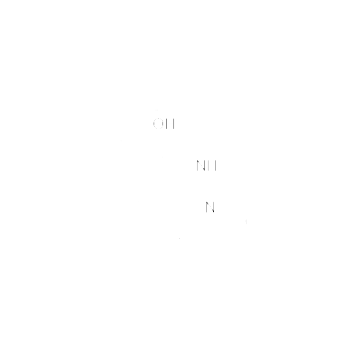 CC1=CN(C)NC1(C)O